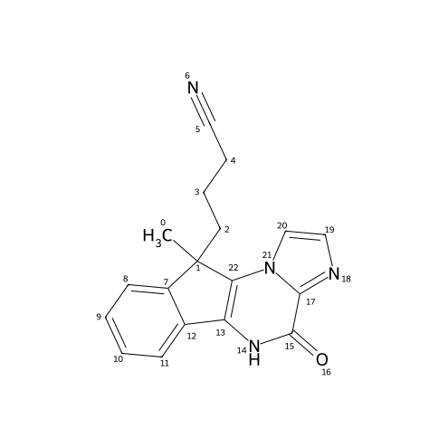 CC1(CCCC#N)c2ccccc2-c2[nH]c(=O)c3nccn3c21